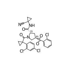 N#CC1(NC(=O)[C@@H]2C[C@@H](S(=O)(=O)c3ccccc3Cl)CN2C(=O)C2(c3ccc(Cl)cc3Cl)CC2)CC1